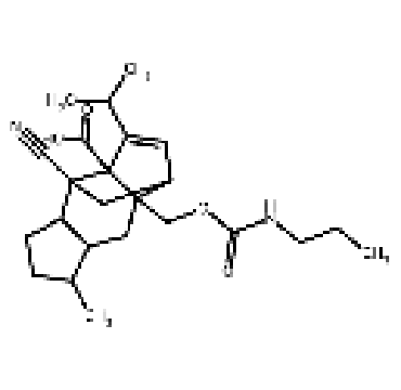 CCCNC(=O)OCC12CC3C(C)CCC3C3(C#N)CC1C=C(C(C)C)C32C(=O)O